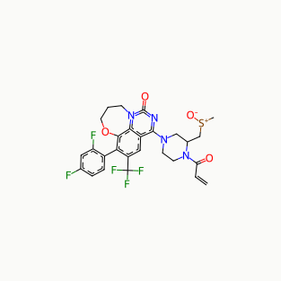 C=CC(=O)N1CCN(c2nc(=O)n3c4c(c(-c5ccc(F)cc5F)c(C(F)(F)F)cc24)OCCC3)CC1C[S+](C)[O-]